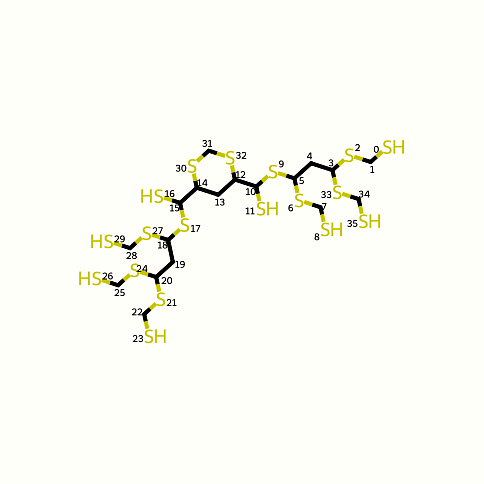 SCSC(CC(SCS)SC(S)C1CC(C(S)SC(CC(SCS)SCS)SCS)SCS1)SCS